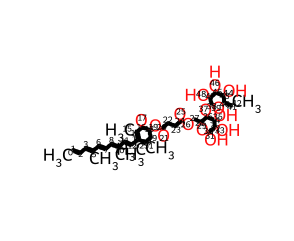 C/C=C/C=C(C)/C=C/C=C(C)/C=C/C1=C(C)C(=O)C(OC(=O)CCC(=O)OCC2OC(O)C(O)C(O)C2OC2OC(CC)C(O)C(O)C2O)CC1(C)C